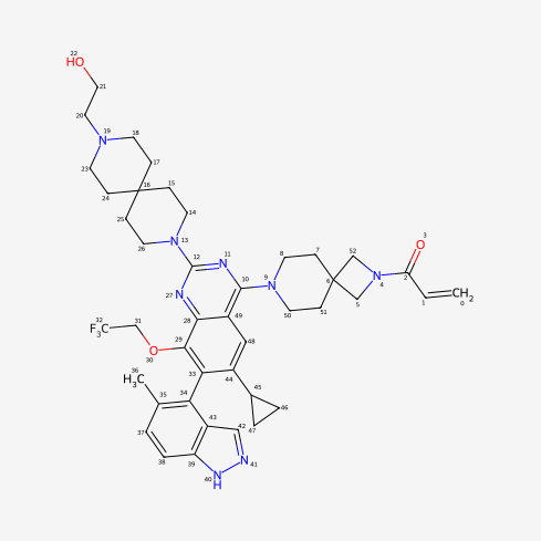 C=CC(=O)N1CC2(CCN(c3nc(N4CCC5(CCN(CCO)CC5)CC4)nc4c(OCC(F)(F)F)c(-c5c(C)ccc6[nH]ncc56)c(C5CC5)cc34)CC2)C1